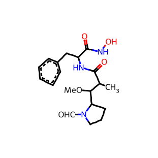 COC(C(C)C(=O)NC(Cc1ccccc1)C(=O)NO)C1CCCN1C=O